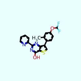 Cc1cc(OC(F)F)ccc1-c1csc2c(O)nc(-c3ccccn3)nc12